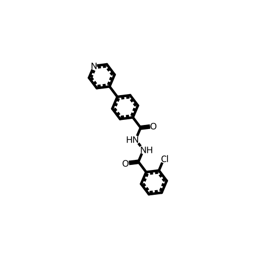 O=C(NNC(=O)c1ccccc1Cl)c1ccc(-c2ccncc2)cc1